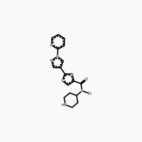 CCN(C(=O)c1csc(-c2cnn(-c3ccccn3)c2)n1)C1CCNCC1